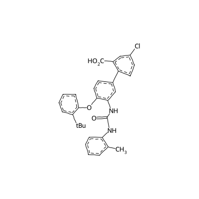 Cc1ccccc1NC(=O)Nc1cc(-c2ccc(Cl)cc2C(=O)O)ccc1Oc1ccccc1C(C)(C)C